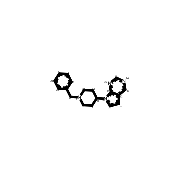 c1ccc(CN2CCC(n3ccc4cncnc43)CC2)cc1